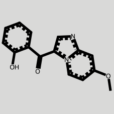 COc1ccn2c(C(=O)c3ccccc3O)cnc2c1